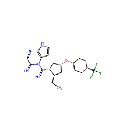 CC[C@@H]1C[C@@H](O[C@H]2CC[C@H](C(F)(F)F)CC2)C[C@H]1C(=N)n1c(=N)cnc2[nH]ccc21